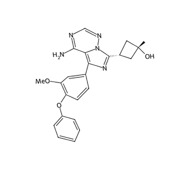 COc1cc(-c2nc([C@H]3C[C@@](C)(O)C3)n3ncnc(N)c23)ccc1Oc1ccccc1